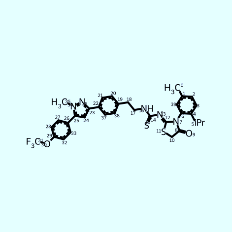 Cc1ccc(C(C)C)c(N2C(=O)CS/C2=N\C(=S)NCCc2ccc(-c3cc(-c4ccc(OC(F)(F)F)cc4)n(C)n3)cc2)c1